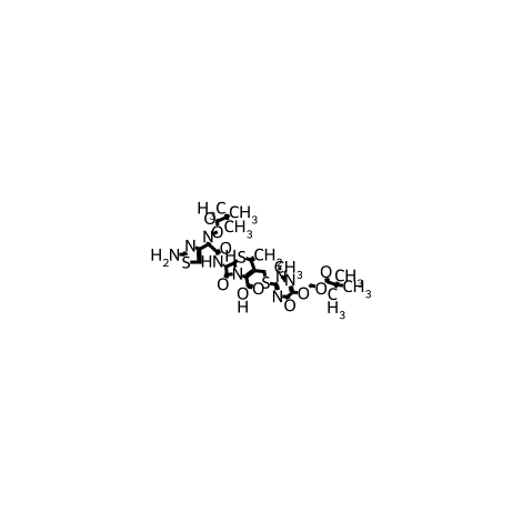 C=C1S[C@@H]2[C@H](NC(=O)/C(=N\OC(=O)C(C)(C)C)c3csc(N)n3)C(=O)N2C(C(=O)O)=C1CSc1nc(=O)c(OCOC(=O)C(C)(C)C)nn1C